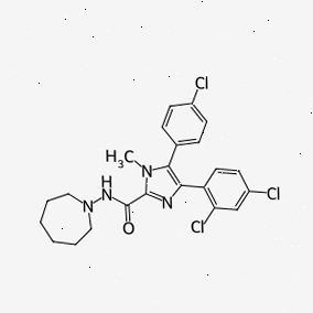 Cn1c(C(=O)NN2CCCCCC2)nc(-c2ccc(Cl)cc2Cl)c1-c1ccc(Cl)cc1